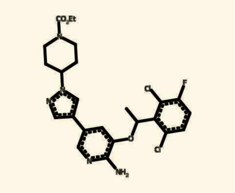 CCOC(=O)N1CCC(n2cc(-c3cnc(N)c(OC(C)c4c(Cl)ccc(F)c4Cl)c3)cn2)CC1